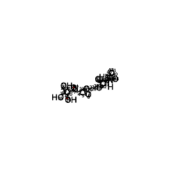 COc1ccc(-c2cc(-c3cc(CO)c(CO)c(CO)c3)on2)cc1OCCCCOc1ccc(C2NC(=O)c3ccccc3N2)cc1CO